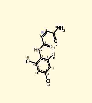 NC(=O)/C=C\C(=O)Nc1c(Cl)cc(Cl)cc1Cl